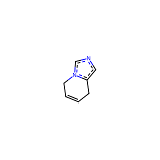 [C]1=CCn2cncc2C1